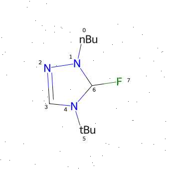 CCCCN1N=CN(C(C)(C)C)C1F